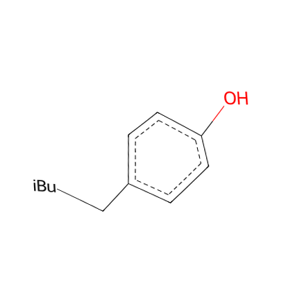 CCC(C)Cc1ccc(O)cc1